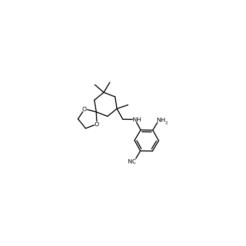 CC1(C)CC(C)(CNc2cc(C#N)ccc2N)CC2(C1)OCCO2